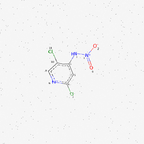 O=[N+]([O-])Nc1cc(Cl)ncc1Cl